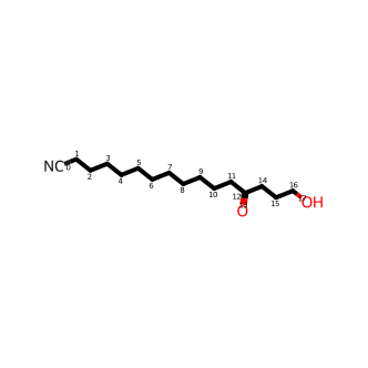 N#CCCCCCCCCCCCC(=O)CCCO